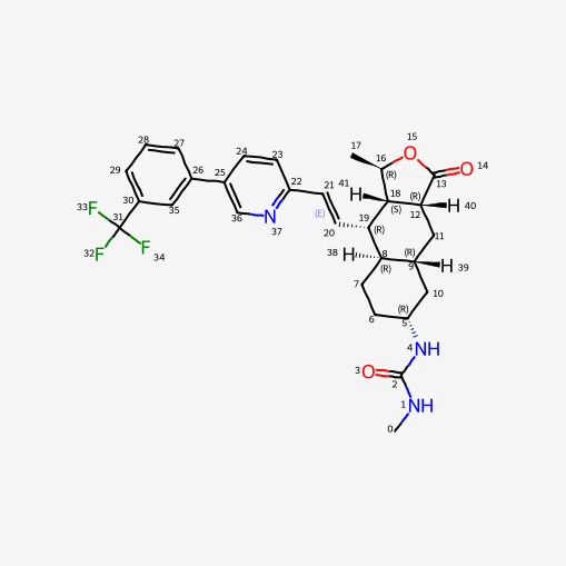 CNC(=O)N[C@@H]1CC[C@@H]2[C@@H](C1)C[C@H]1C(=O)O[C@H](C)[C@H]1[C@H]2/C=C/c1ccc(-c2cccc(C(F)(F)F)c2)cn1